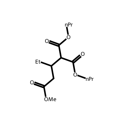 CCCOC(=O)C(C(=O)OCCC)C(CC)CC(=O)OC